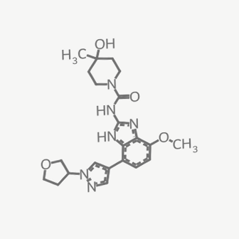 COc1ccc(-c2cnn(C3CCOC3)c2)c2[nH]c(NC(=O)N3CCC(C)(O)CC3)nc12